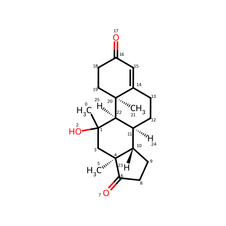 CC1(O)C[C@]2(C)C(=O)CC[C@H]2[C@@H]2CCC3=CC(=O)CC[C@]3(C)[C@@H]21